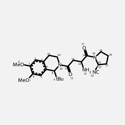 COc1cc2c(cc1OC)C(C(C)(C)C)N(C(=O)CC(N)C(=O)N1CCC[C@H]1C#N)CC2